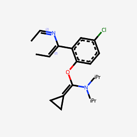 C/C=N\C(=C/C)c1cc(Cl)ccc1OC(=C1CC1)N(C(C)C)C(C)C